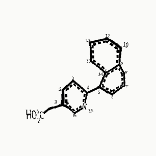 O=C(O)c1ccc(-c2cccc3ccccc23)nc1